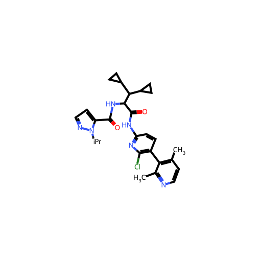 Cc1ccnc(C)c1-c1ccc(NC(=O)C(NC(=O)c2ccnn2C(C)C)C(C2CC2)C2CC2)nc1Cl